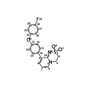 O=S1(=O)CCN2C=CC=C(c3ccc(Oc4ccc(F)cc4)cc3)C2=N1